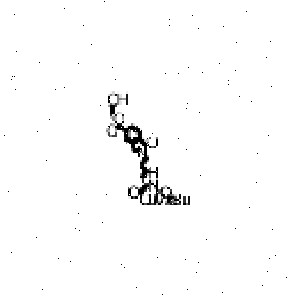 C#CCOC(=O)c1ccc2c(c1)CN(CCCC[C@H](NC(=O)OC(C)(C)C)C(=O)OC)C2=O